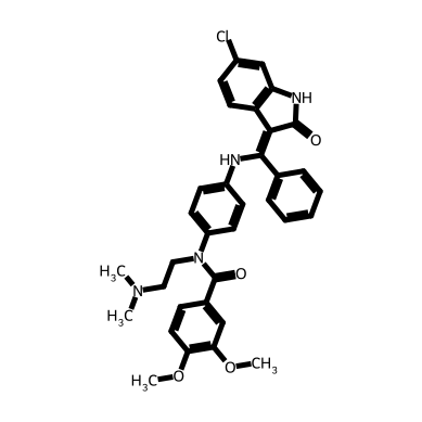 COc1ccc(C(=O)N(CCN(C)C)c2ccc(NC(=C3C(=O)Nc4cc(Cl)ccc43)c3ccccc3)cc2)cc1OC